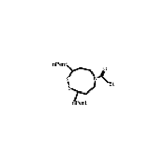 CCCCCC1CCN(C(=O)CC)CCC(CCCCC)SS1